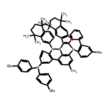 Cc1cc2c3c(c1)N(c1ccc(C(C)(C)C)cc1-c1ccccc1)c1oc4cc5c(cc4c1B3N(c1ccc3c(c1)C(C)(C)CCC3(C)C)c1ccc(N(c3ccc(C(C)(C)C)cc3)c3ccc(C(C)(C)C)cc3)cc1-2)C(C)(C)CCC5(C)C